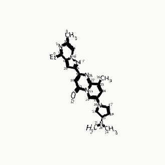 CCc1nc(C)cn2nc(-c3cc(=O)n4cc(N5CC[C@@H](N(C)C)C5)cc(C)c4n3)cc12